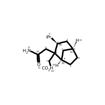 CC(C)[C@H]1C[C@H]2CC[C@H](C2)C1(CC(N)=O)CC(=O)O